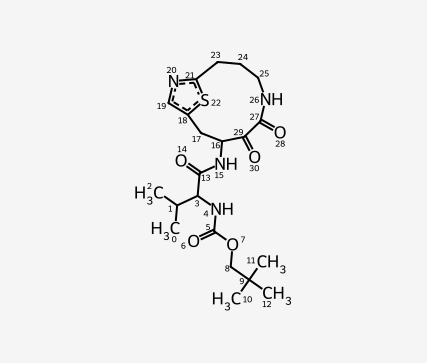 CC(C)C(NC(=O)OCC(C)(C)C)C(=O)NC1Cc2cnc(s2)CCCNC(=O)C1=O